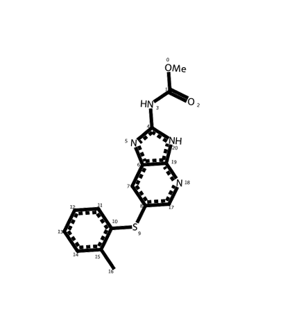 COC(=O)Nc1nc2cc(Sc3ccccc3C)cnc2[nH]1